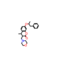 CC(Cc1ccccc1)Oc1ccc2c(c1)OC(=O)C(CN1CCOCC1)C2C